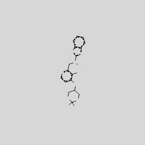 Cc1c(OC2COC(C)(C)OC2)ccnc1C[S+]([O-])c1nc2ccccc2[nH]1.[Na]